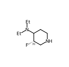 CCN(CC)C1CCNC[C@@H]1F